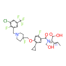 C/C=C(\C)[C@@H](C(=O)O)N(CO)C(=O)c1cc(C2CC2)c(OCC2(F)CCN(Cc3cc(C(F)(F)F)cc(Cl)c3F)CC2)cc1F